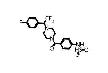 O=C(c1ccc(N[SH](=O)=O)cc1)N1CCN(C(c2ccc(F)cc2)C(F)(F)F)CC1